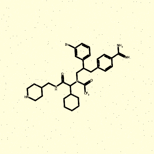 N=C(N)c1ccc(CC(CN(C(=O)C(F)(F)F)C(C(=O)NCC2CCNCC2)C2CCCCC2)c2cccc(Br)c2)cc1